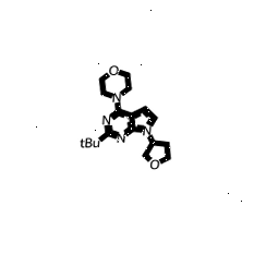 CC(C)(C)c1nc(N2CCOCC2)c2ccn(C3CCOC3)c2n1